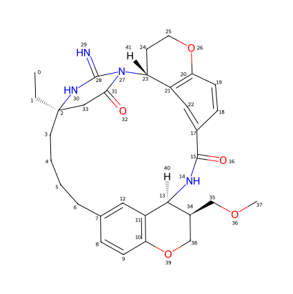 CC[C@]12CCCCc3ccc4c(c3)[C@@H](NC(=O)c3ccc5c(c3)[C@@H](CCO5)N(C(=N)N1)C(=O)C2)[C@@H](COC)CO4